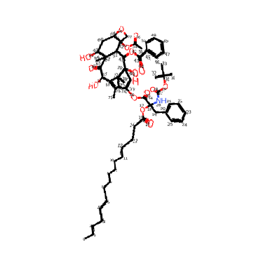 CCCCCCCCCCCCCCCC(=O)OC(Cc1ccccc1)(NC(=O)OC(C)(C)C)C(=O)OC1CC2(O)C(OC(=O)c3ccccc3)C3C4(OC(C)=O)COC4CC(O)C3(C)C(=O)C(O)C(=C1C)C2(C)C